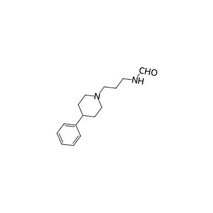 O=CNCCCN1CCC(c2ccccc2)CC1